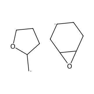 [CH2]C1CCCO1.[CH]1CCC2OC2C1